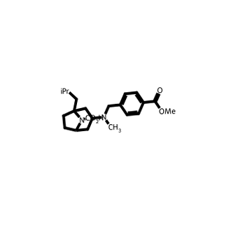 COC(=O)c1ccc(CN(C)C2CC3CCC(CC(C)C)(C2)N3C(=O)O)cc1